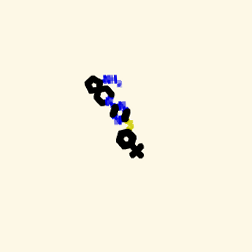 CC(C)(C)c1cccc(Sc2cnc(N3CCC4(CCC[C@@H]4N)CC3)cn2)c1